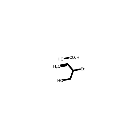 C=CC(CC)CO.O=C(O)O